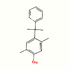 Cc1cc(C(C)(C)c2ccccc2)c(C)cc1O